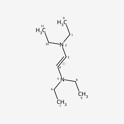 CCN(/C=C/N(CC)CC)CC